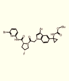 CC(=O)c1cn(CC(=O)N2C[C@H](F)C[C@H]2C(=O)Nc2cccc(Br)n2)c2ccc(C3(NC(=O)OC(C)(C)C)CC3)cc12